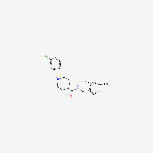 N#Cc1ccc(CNC(=O)C2CCN(Cc3cccc(F)c3)CC2)c(C(F)(F)F)c1